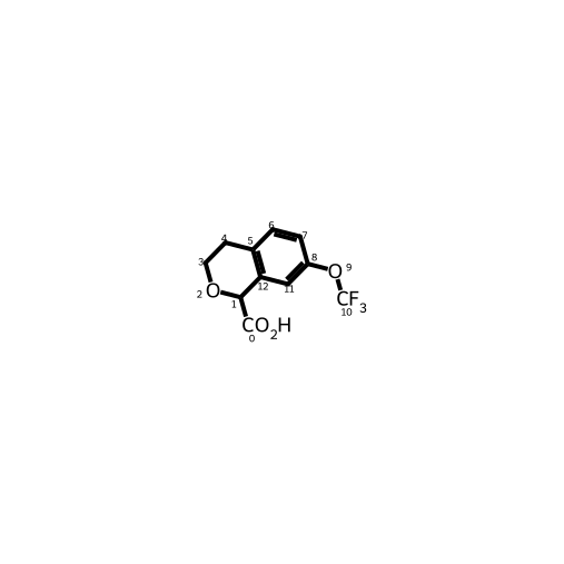 O=C(O)C1OCCc2ccc(OC(F)(F)F)cc21